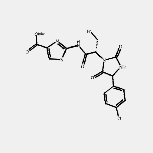 COC(=O)c1csc(NC(=O)[C@H](CC(C)C)N2C(=O)NC(c3ccc(Cl)cc3)C2=O)n1